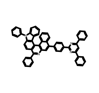 c1ccc(-c2cc(-c3ccccc3)nc(-c3ccc(-c4cc5nc(-c6ccccc6)c6ccc7c(c8ccccc8n7-c7ccccc7)c6c5c5ccccc45)cc3)n2)cc1